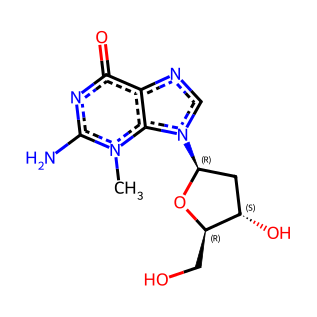 Cn1c(N)nc(=O)c2ncn([C@H]3C[C@H](O)[C@@H](CO)O3)c21